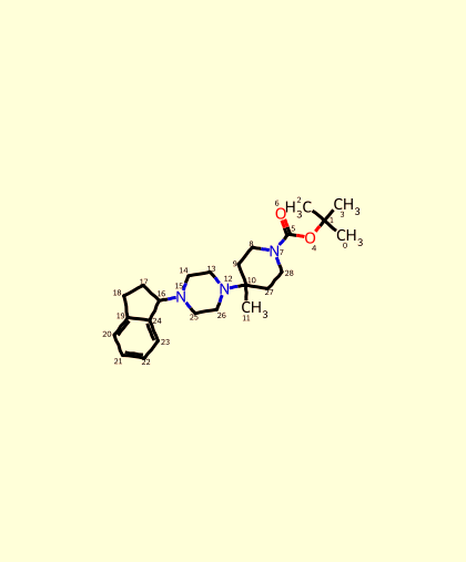 CC(C)(C)OC(=O)N1CCC(C)(N2CCN(C3CCc4ccccc43)CC2)CC1